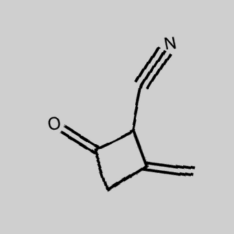 C=C1CC(=O)C1C#N